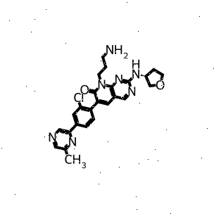 Cc1cncc(-c2ccc(-c3cc4cnc(N[C@@H]5CCOC5)nc4n(CCCN)c3=O)c(Cl)c2)n1